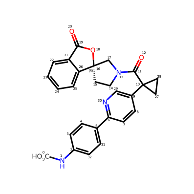 O=C(O)Nc1ccc(-c2ccc(C3(C(=O)N4CC[C@@]5(C4)OC(=O)c4ccccc45)CC3)cn2)cc1